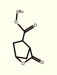 CCCCOC(=O)C1CC2CC1C(=O)O2